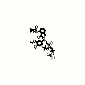 CCOc1cc([C@@H](CCC(=O)N(CC(C)(C)OC(=O)O)OC(C)(C)C)N2Cc3cccc(NC(=O)C4CC4)c3C2=O)ccc1OC